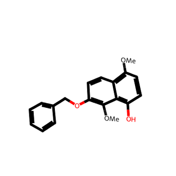 COc1ccc(O)c2c(OC)c(OCc3ccccc3)ccc12